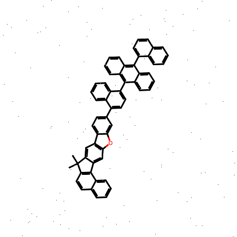 CC1(C)c2cc3c(cc2-c2c1ccc1ccccc21)oc1cc(-c2ccc(-c4c5ccccc5c(-c5cccc6ccccc56)c5ccccc45)c4ccccc24)ccc13